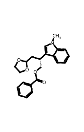 Cn1cc([C@H](COC(=O)c2ccccc2)CC2OCCO2)c2ccccc21